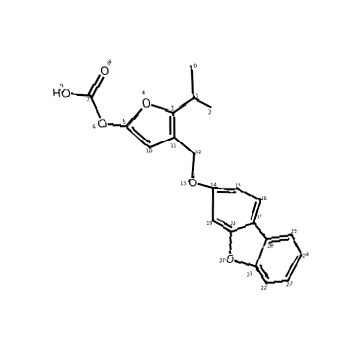 CC(C)c1oc(OC(=O)O)cc1COc1ccc2c(c1)oc1ccccc12